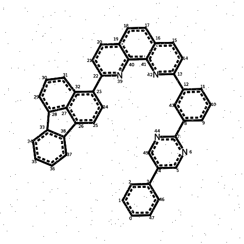 c1ccc(-c2cnc(-c3cccc(-c4ccc5ccc6ccc(-c7ccc8c9c(cccc79)-c7ccccc7-8)nc6c5n4)c3)nc2)cc1